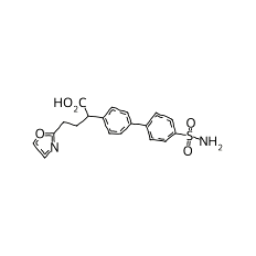 NS(=O)(=O)c1ccc(-c2ccc(C(CCc3ncco3)C(=O)O)cc2)cc1